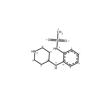 CS(=O)(=O)Nc1ccccc1NC1CCNCC1